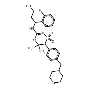 CC1(C)OC(N[C@@H](CCO)c2ccccc2F)=NS(=O)(=O)C1c1ccc(CN2CCOCC2)cc1